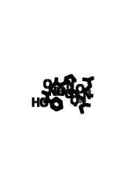 CCC(C)[C@@H](C(CC(=O)N1CCCC1C(OC)C(C)C(=O)NC(C)C(O)c1ccccc1)OC)N(C)C(=O)CC(C)C